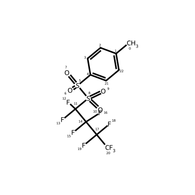 Cc1ccc(S(=O)(=O)S(=O)(=O)C(F)(F)C(F)(F)C(F)(F)C(F)(F)F)cc1